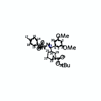 COc1cc(OC)cc(/C(=N/NS(=O)(=O)c2ccc(C)cc2)C2CCCN(C(=O)OC(C)(C)C)C2)c1